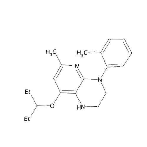 CCC(CC)Oc1cc(C)nc2c1NCCN2c1ccccc1C